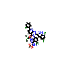 CS(=O)(=O)Nc1nn(CC(F)F)c2c(-n3c([C@@H](N)Cc4cc(F)cc(F)c4)nc4nc(-c5ccccc5F)ccc4c3=O)ccc(Cl)c12